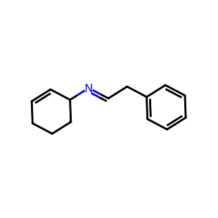 C1=CC(/N=C/Cc2ccccc2)CCC1